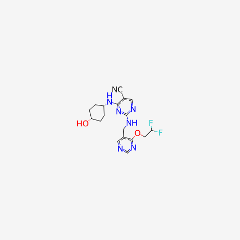 N#Cc1cnc(NCc2cncnc2OCC(F)F)nc1N[C@H]1CC[C@@H](O)CC1